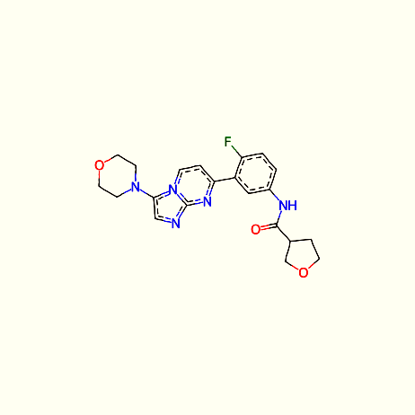 O=C(Nc1ccc(F)c(-c2ccn3c(N4CCOCC4)cnc3n2)c1)C1CCOC1